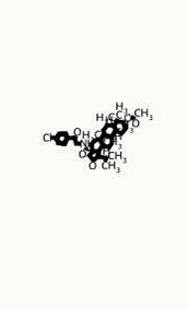 CC(=O)O[C@H]1CC[C@]2(C)[C@H]3CC[C@@H]4C5=C(C(C)C)C(=O)C[C@]5(C(=O)NCC(=O)c5ccc(Cl)cc5)CC[C@@]4(C)[C@]3(C)CC[C@H]2C1(C)C